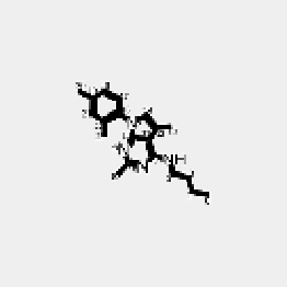 CCCCNc1nc(C)nc2c1c(C)cn2-c1ccc(C)cc1C